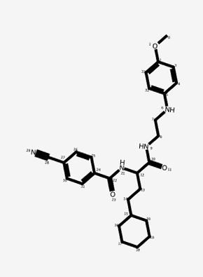 COc1ccc(NCCNC(=O)C(CCC2CCCCC2)NC(=O)c2ccc(C#N)cc2)cc1